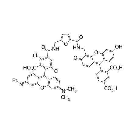 CC/N=c1\ccc2c(-c3c(Cl)cc(C(=O)NCc4ccc(C(=O)NCc5c6oc7cc(O)ccc7c(-c7ccc(C(=O)O)cc7C(=O)O)c-6ccc5=O)o4)c(Cl)c3C(=O)O)c3ccc(N(C)C)cc3oc-2c1